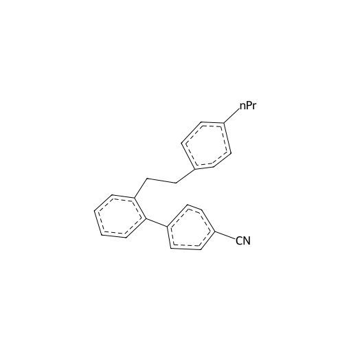 CCCc1ccc(CCc2ccccc2-c2ccc(C#N)cc2)cc1